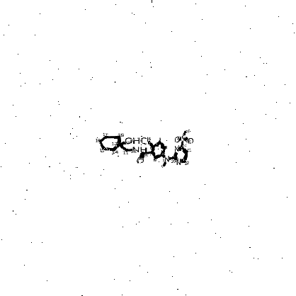 CN(c1ccc(Cl)c(C(=O)NCC2(O)CCCCC2)c1)c1nccc(S(C)(=O)=O)n1